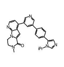 CC(C)n1cncc1-c1ccc(-c2cncc(-c3ccnc4c3cc3n4CCN(C)C3=O)c2)cc1